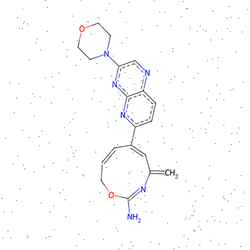 C=C1/C=C(c2ccc3ncc(N4CCOCC4)nc3n2)\C=C/CO/C(N)=N\1